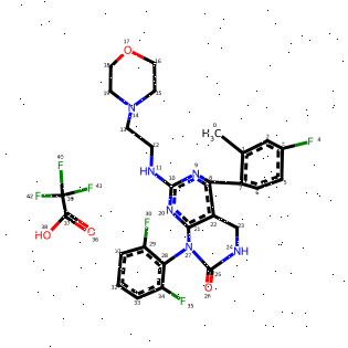 Cc1cc(F)ccc1-c1nc(NCCN2CCOCC2)nc2c1CNC(=O)N2c1c(F)cccc1F.O=C(O)C(F)(F)F